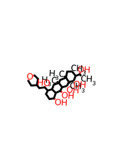 CC(O)C1C(C)CC2(C)CC3(C)CC4C(C(O)CC5CCOCC5)CCC(O)C4C(O)C3C(O)C2(C)C1O